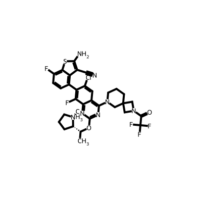 CC(Oc1nc(N2CCCC3(CN(C(=O)C(F)(F)F)C3)C2)c2cc(Cl)c(-c3ccc(F)c4sc(N)c(C#N)c34)c(F)c2n1)[C@@H]1CCCN1C